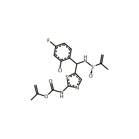 C=C(C)OC(=O)Nc1ncc(C(N[S@+]([O-])C(=C)C)c2ccc(F)cc2Cl)s1